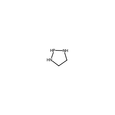 C1CNPN1